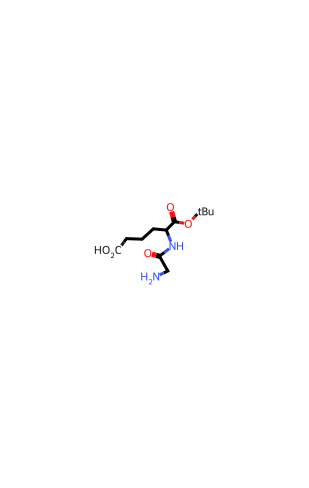 CC(C)(C)OC(=O)C(CCCC(=O)O)NC(=O)CN